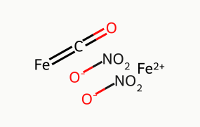 O=[C]=[Fe].O=[N+]([O-])[O-].O=[N+]([O-])[O-].[Fe+2]